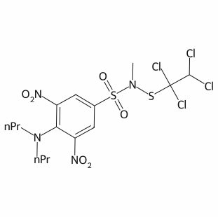 CCCN(CCC)c1c([N+](=O)[O-])cc(S(=O)(=O)N(C)SC(Cl)(Cl)C(Cl)Cl)cc1[N+](=O)[O-]